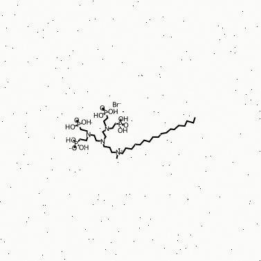 CCCCCCCCCCCCCCCCCC[N+](C)(C)CCCN(CCN(CCP(=O)(O)O)CCP(=O)(O)O)CCN(CCP(=O)(O)O)CCP(=O)(O)O.[Br-]